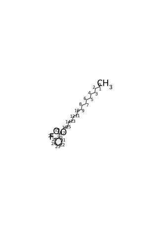 CCCCCCCCCCCCCCCCCOC(=O)c1ccccc1F